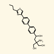 CCCc1nc(-c2ccc(-c3ccc(C(O)CC(N)(CO)CO)cc3)cc2)co1